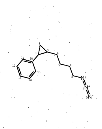 [N-]=[N+]=NCCCCC1CC1c1ccccc1